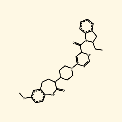 CCC1Cc2ccccc2N1C(=O)C1C=C(N2CCC(N3CCc4cc(OC)ccc4NC3=O)CC2)N=CN1